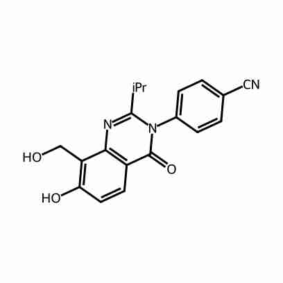 CC(C)c1nc2c(CO)c(O)ccc2c(=O)n1-c1ccc(C#N)cc1